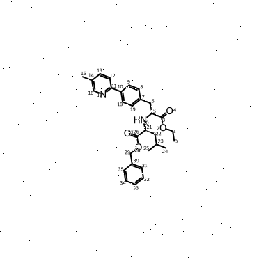 CCOC(=O)[C@H](Cc1ccc(-c2ccc(C)cn2)cc1)N[C@@H](CC(C)C)C(=O)OCc1ccccc1